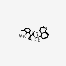 COc1c(C)cccc1C1(C(=O)NS(=O)(=O)c2cccc3ncccc23)CC1